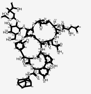 CCOC(CC(C)(N)C(C)O)OC1C(Oc2c3cc4cc2Oc2ccc(cc2Cl)[C@@H](O)[C@H]2NC(=O)[C@H](NC(=O)[C@@H]4NC(=O)[C@H](CC(N)=O)NC(=O)[C@H](NC(=O)[C@H](N)CC(C)C)[C@H](O)c4ccc(c(Cl)c4)O3)c3ccc(O)c(c3)-c3c(O)cc(O)cc3[C@@H](C(=O)NC3C4CC5CC(C4)CC3C5)NC2=O)OC(CO)C(O)C1O